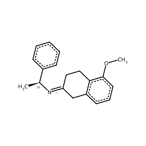 COc1cccc2c1CC/C(=N\[C@@H](C)c1ccccc1)C2